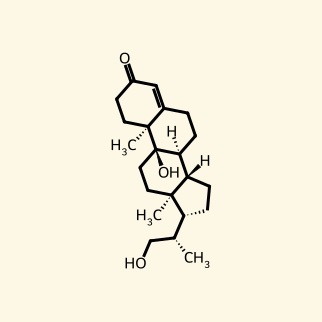 C[C@H](CO)[C@H]1CC[C@H]2[C@@H]3CCC4=CC(=O)CC[C@]4(C)[C@@]3(O)CC[C@]12C